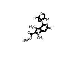 Cc1c(C(=O)OC(C)(C)C)n(C)c2cc(Cl)nc(N3C[C@H]4C[C@@H]3CO4)c12